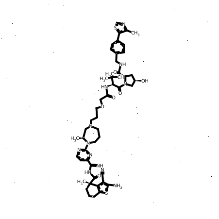 Cc1ncsc1-c1ccc(CNC(=O)[C@@H]2C[C@@H](O)CN2C(=O)[C@@H](NC(=O)COCCCN2CCCN(c3nccc(C(=N)NC(=O)[C@@]4(C)CCCc5sc(N)c(C#N)c54)n3)[C@@H](C)C2)C(C)(C)C)cc1